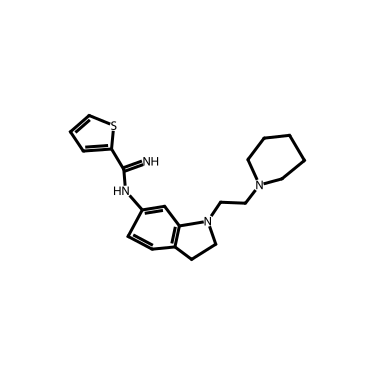 N=C(Nc1ccc2c(c1)N(CCN1CCCCC1)CC2)c1cccs1